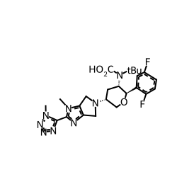 Cn1nnnc1-c1nc2c(n1C)CN([C@H]1CO[C@H](c3cc(F)ccc3F)[C@@H](N(C(=O)O)C(C)(C)C)C1)C2